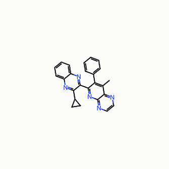 Cc1c(-c2ccccc2)c(-c2nc3ccccc3nc2C2CC2)nc2nccnc12